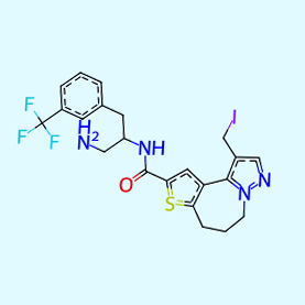 NCC(Cc1cccc(C(F)(F)F)c1)NC(=O)c1cc2c(s1)CCCn1ncc(CI)c1-2